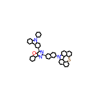 c1ccc(-n2c3ccccc3c3cc(-c4nc(-c5ccc6cc(-n7c8ccc9cccc%10sc%11cccc%12ccc7c(c%12%11)c8c9%10)ccc6c5)nc5c4oc4ccccc45)ccc32)cc1